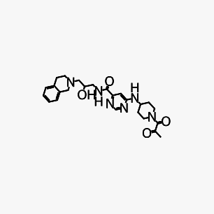 CC(=O)C(=O)N1CCC(Nc2cc(C(=O)NCC(O)CN3CCc4ccccc4C3)ncn2)CC1